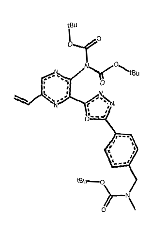 C=Cc1cnc(N(C(=O)OC(C)(C)C)C(=O)OC(C)(C)C)c(-c2nnc(-c3ccc(CN(C)C(=O)OC(C)(C)C)cc3)o2)n1